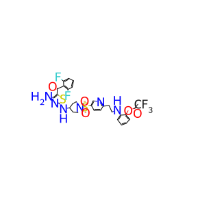 Nc1nc(NC2CCN(S(=O)(=O)c3ccc(CCNc4ccccc4OC(=O)C(F)(F)F)nc3)CC2)sc1C(=O)c1c(F)cccc1F